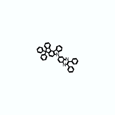 c1ccc(-c2nc3ccc(-n4c5ccccc5c5c6c(ccc54)C(c4ccccc4)(c4ccccc4)c4ccccc4-6)cc3nc2-c2ccccc2)cc1